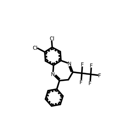 FC(F)(F)C(F)(F)C1=Nc2cc(Cl)c(Cl)cc2N=C(c2ccccc2)C1